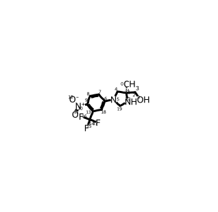 C[C@@]1(CO)CN(c2ccc([N+](=O)[O-])c(C(F)(F)F)c2)CN1